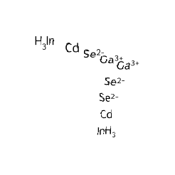 [Cd].[Cd].[Ga+3].[Ga+3].[InH3].[InH3].[Se-2].[Se-2].[Se-2]